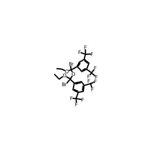 CCOC(Br)(OC(Br)(OCC)c1cc(C(F)(F)F)cc(C(F)(F)F)c1)c1cc(C(F)(F)F)cc(C(F)(F)F)c1